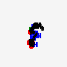 CC1(C)CCN(Cc2cc(F)c(N3CC(=O)NC4(CCN(c5cc(NCCCN6CC[C@]7(CCN(c8cccc9c8C(=O)N(C8CCC(=O)NC8=O)C9=O)C7)C6)ncn5)CC4)C3)cc2F)CC1